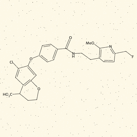 COc1nc(CF)ccc1CCNC(=O)c1ccc(Oc2cc3c(cc2Cl)C(C(=O)O)CCO3)cc1